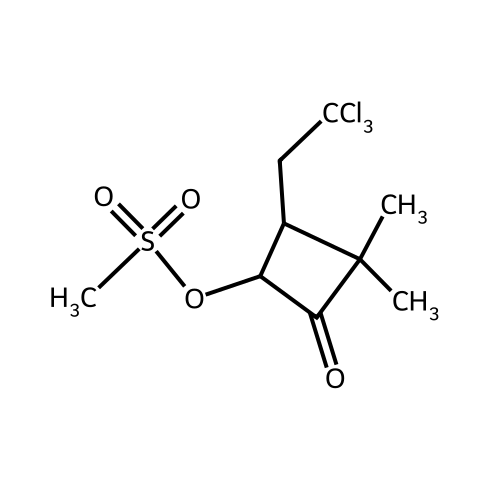 CC1(C)C(=O)C(OS(C)(=O)=O)C1CC(Cl)(Cl)Cl